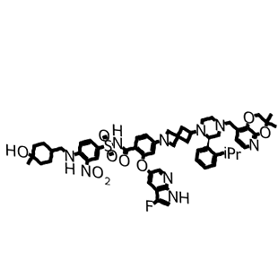 CC(C)c1ccccc1[C@@H]1CN(Cc2ccnc3c2OCC(C)(C)O3)CCN1C1CC2(C1)CN(c1ccc(C(=O)NS(=O)(=O)c3ccc(NCC4CCC(C)(O)CC4)c([N+](=O)[O-])c3)c(Oc3cnc4[nH]cc(F)c4c3)c1)C2